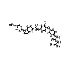 CCCCN1CCC(n2ccc3cc(C(=O)Nc4ccc(Oc5ccc(NC(=O)NC(CC)CC)cc5)c(C)c4)ccc32)CC1